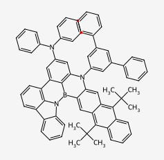 CC(C)(C)c1c2ccccc2c(C(C)(C)C)c2cc3c(cc12)B1c2c(cc(N(c4ccccc4)c4ccccc4)cc2N3c2cc(-c3ccccc3)cc(-c3ccccc3)c2)-c2cccc3c4ccccc4n1c23